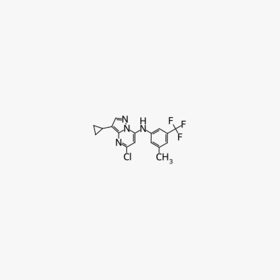 Cc1cc(Nc2cc(Cl)nc3c(C4CC4)cnn23)cc(C(F)(F)F)c1